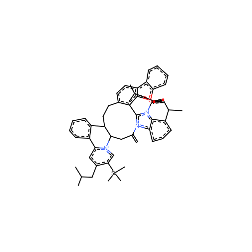 C=C1CC2C(CCc3ccc4c(oc5ccccc54)c3-c3n4c5c(cccc5[n+]31)C(C)c1cccc(C(C)C)c1-4)c1ccccc1-c1cc(CC(C)C)c([Si](C)(C)C)c[n+]12